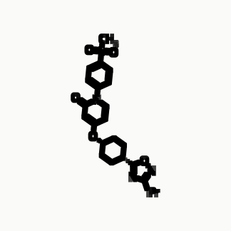 CC(C)c1noc([C@H]2CC[C@@H](Oc3ccn(-c4ccc(S(C)(=O)=O)cc4)c(=O)c3)CC2)n1